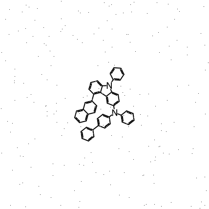 c1ccc(-c2ccc(N(c3ccccc3)c3ccc4c(c3)c3c(-c5ccc6ccccc6c5)cccc3n4-c3ccccc3)cc2)cc1